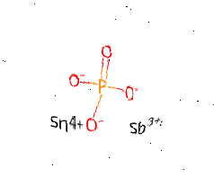 O=P([O-])([O-])[O-].[Sb+3].[Sn+4]